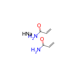 C=CC(N)=O.C=CC(N)=O.[NaH]